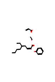 C=CC(=O)O.CCCCC(CC)CC=C(Oc1ccccc1)C(=O)OCC